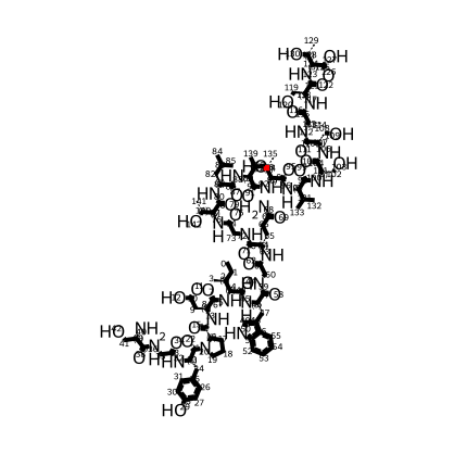 CC[C@H](C)[C@H](NC(=O)[C@H](CC(=O)O)NC(=O)[C@@H]1CCCN1C(=O)[C@H](Cc1ccc(O)cc1)NC(=O)CNC(=O)[C@@H](N)CO)C(=O)N[C@@H](Cc1c[nH]c2ccccc12)C(=O)NCC(=O)N[C@@H](CCC(N)=O)C(=O)NCC(=O)N[C@H](C(=O)N[C@@H](CC(C)C)C(=O)N[C@H](C(=O)N[C@H](C(=O)N[C@H](C(=O)N[C@@H](CO)C(=O)N[C@@H](CO)C(=O)N[C@@H](C)C(=O)N[C@@H](CO)C(=O)N[C@H](C(=O)O)[C@@H](C)O)C(C)C)[C@@H](C)O)C(C)C)[C@@H](C)O